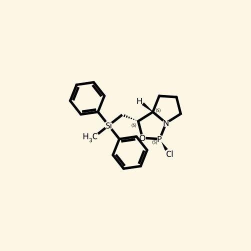 C[Si](C[C@H]1O[P@](Cl)N2CCC[C@@H]12)(c1ccccc1)c1ccccc1